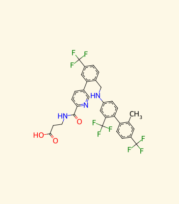 Cc1cc(C(F)(F)F)ccc1-c1ccc(NCc2ccc(C(F)(F)F)cc2-c2ccc(C(=O)NCCC(=O)O)nc2)cc1C(F)(F)F